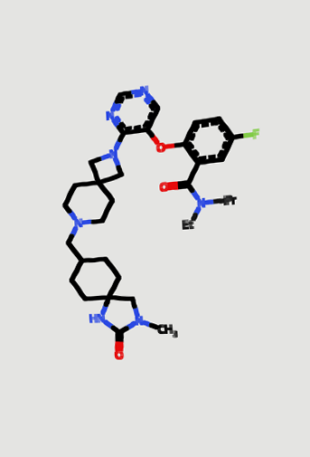 CCN(C(=O)c1cc(F)ccc1Oc1cncnc1N1CC2(CCN(CC3CCC4(CC3)CN(C)C(=O)N4)CC2)C1)C(C)C